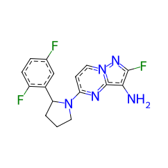 Nc1c(F)nn2ccc(N3CCCC3c3cc(F)ccc3F)nc12